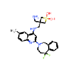 Cc1ccc2nc(N3CCC(F)(F)c4ccccc4C3)cc(NCC3(CN)CS(O)(O)C3)c2c1